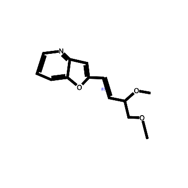 COCC(/C=C/c1cc2ncccc2o1)OC